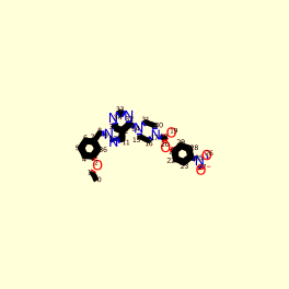 CCOc1cccc(Cn2ncc3c(N4CCN(C(=O)Oc5ccc([N+](=O)[O-])cc5)CC4)ncnc32)c1